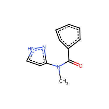 CN(C(=O)c1ccccc1)c1cc[nH]n1